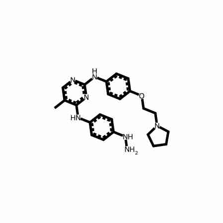 Cc1cnc(Nc2ccc(OCCN3CCCC3)cc2)nc1Nc1ccc(NN)cc1